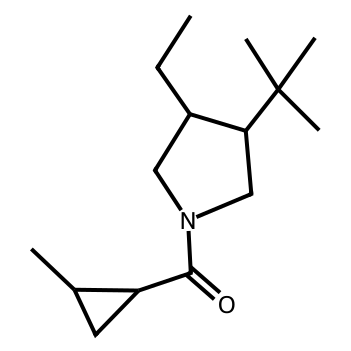 CCC1CN(C(=O)C2CC2C)CC1C(C)(C)C